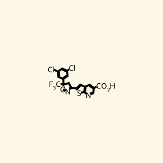 O=C(O)c1cnc2sc(C3=NOC(c4cc(Cl)cc(Cl)c4)(C(F)(F)F)C3)cc2c1